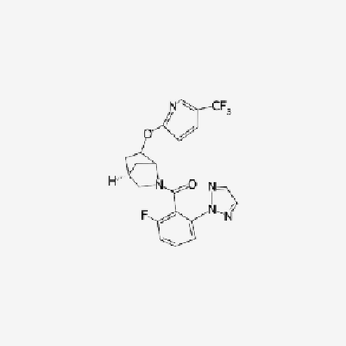 O=C(c1c(F)cccc1-n1nccn1)N1C[C@H]2CC(Oc3ccc(C(F)(F)F)cn3)C1C2